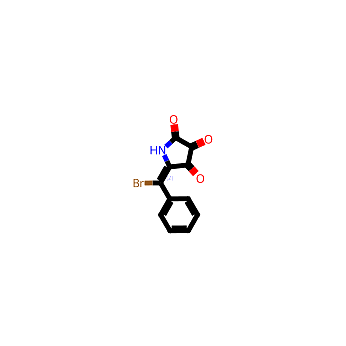 O=C1N/C(=C(\Br)c2ccccc2)C(=O)C1=O